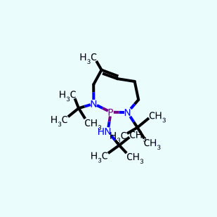 C/C1=C\CCN(C(C)(C)C)P(NC(C)(C)C)N(C(C)(C)C)C1